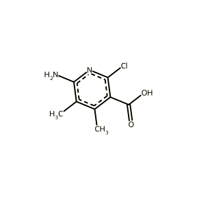 Cc1c(N)nc(Cl)c(C(=O)O)c1C